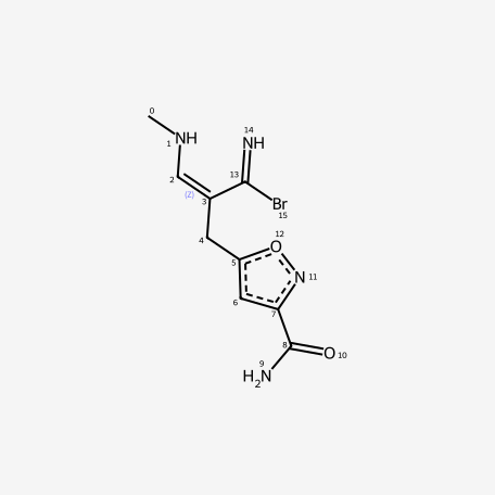 CN/C=C(/Cc1cc(C(N)=O)no1)C(=N)Br